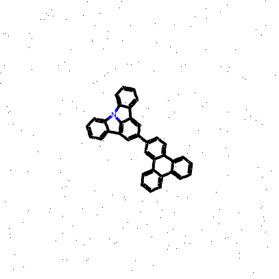 c1ccc2c(c1)c1ccccc1c1cc(-c3cc4c5ccccc5n5c6ccccc6c(c3)c45)ccc21